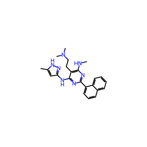 CNc1nc(-c2cccc3ccccc23)nc(Nc2cc(C)[nH]n2)c1CCN(C)C